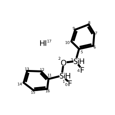 F[SiH](O[SiH](F)c1ccccc1)c1ccccc1.I